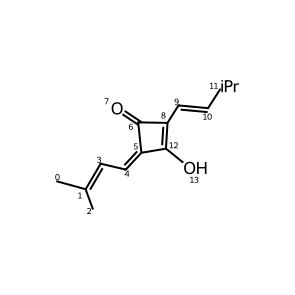 CC(C)=C/C=C1\C(=O)C(/C=C/C(C)C)=C1O